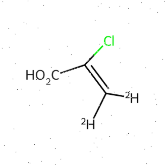 [2H]C([2H])=C(Cl)C(=O)O